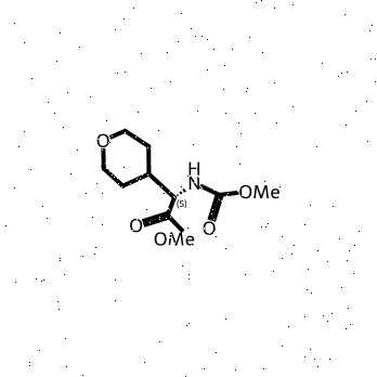 COC(=O)N[C@H](C(=O)OC)C1CCOCC1